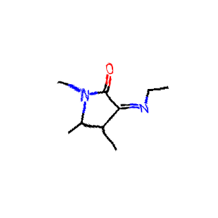 CC/N=C1\C(=O)N(C)C(C)C1C